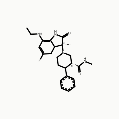 CCNC1=C2NC(=O)[C@@](C)(N3CCC(c4ccccc4)[C@@H](C(=O)NC)C3)C2CC(F)=C1